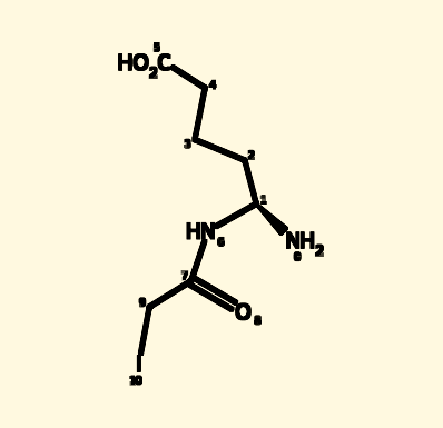 N[C@H](CCCC(=O)O)NC(=O)CI